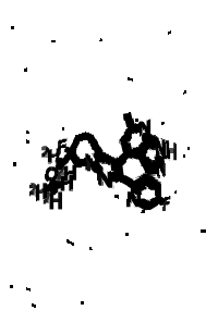 [2H]C([2H])([2H])OC([2H])([2H])[C@]1(F)CCc2c(-c3cc(C)nc4[nH]ncc34)c(-c3ccc(F)cn3)nn2C1